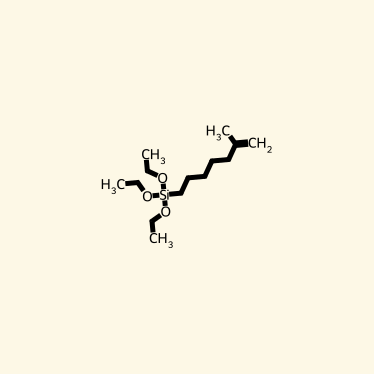 C=C(C)CCCCC[Si](OCC)(OCC)OCC